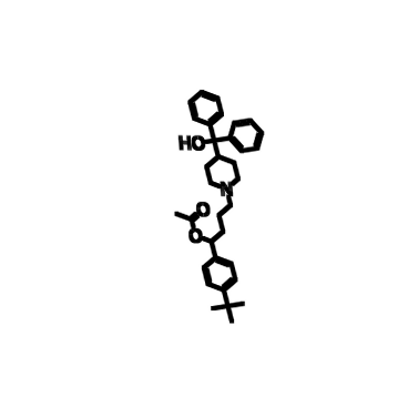 CC(=O)OC(CCCN1CCC(C(O)(c2ccccc2)c2ccccc2)CC1)c1ccc(C(C)(C)C)cc1